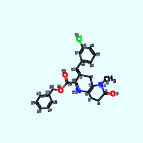 CN1C(=O)CCC2=C1CC(=Cc1cccc(Cl)c1)C(C(=O)OCc1ccccc1)=N2